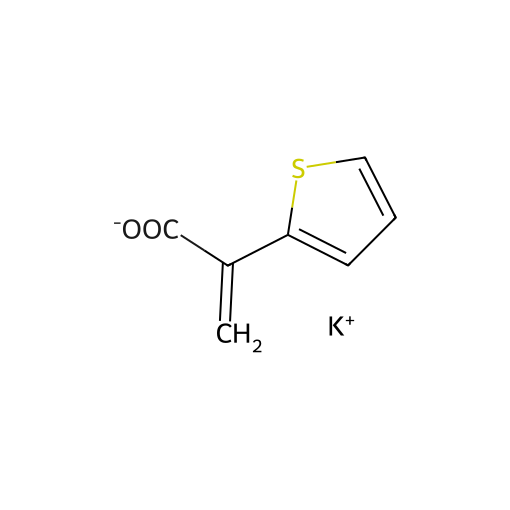 C=C(C(=O)[O-])c1cccs1.[K+]